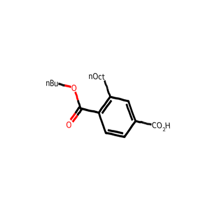 CCCCCCCCc1cc(C(=O)O)ccc1C(=O)OCCCC